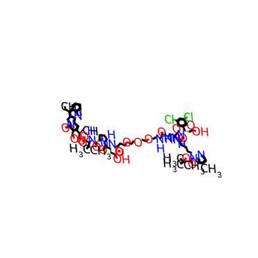 CCc1c2c(nc3ccccc13)-c1cc3c(c(=O)n1C2)COC(=O)[C@@]3(CC)OC(=O)[C@@H](NC(=O)[C@@H]1CCCN1C(=O)[C@H](CC(=O)O)NC(=O)CCOCCOCCOCCNC(=O)NC[C@H](NC(=O)CCCCN(C(=O)OC(C)(C)C)c1cc(C)ccn1)C(=O)N[C@@H](CC(=O)O)c1cc(Cl)cc(Cl)c1)C(C)C